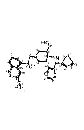 COc1cnc2cccc(C(O)CN3CCC(NC(C4=CC=CCC4)C4=COC=CO4)C(CO)C3)c2c1